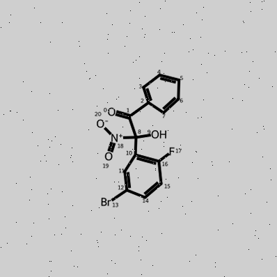 O=C(c1ccccc1)C(O)(c1cc(Br)ccc1F)[N+](=O)[O-]